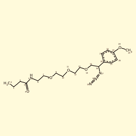 CCCC(=O)NCCOCCOCCOCC(N=[N+]=[N-])c1ccc(OC)cc1